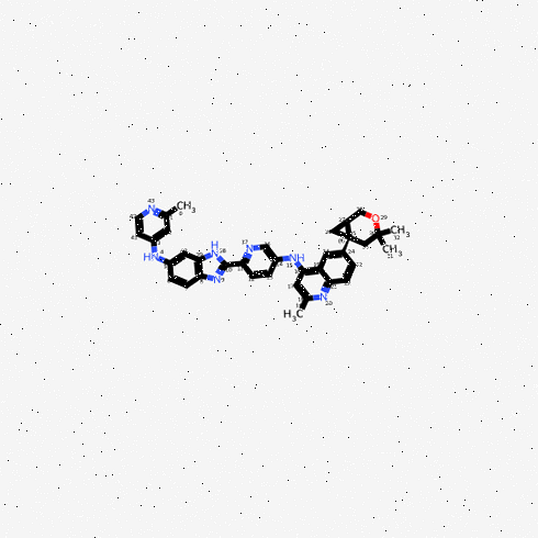 Cc1cc(Nc2ccc3nc(-c4ccc(Nc5cc(C)nc6ccc([C@@]78CC7COC(C)(C)C8)cc56)cn4)[nH]c3c2)ccn1